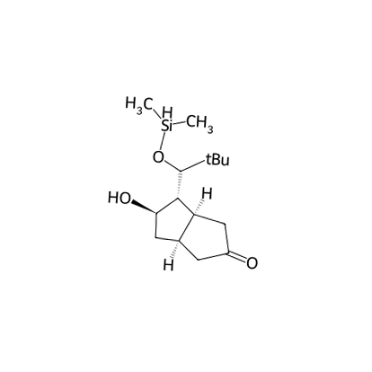 C[SiH](C)OC([C@@H]1[C@H]2CC(=O)C[C@H]2C[C@H]1O)C(C)(C)C